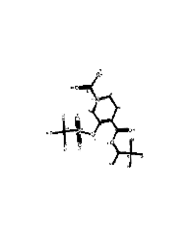 CC(OC(=O)C1=C(OS(=O)(=O)C(F)(F)F)CN(C(=O)O)CC1)C(C)(C)C